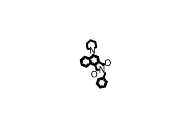 O=C1c2cc(N3CCCCC3)c3ccccc3c2C(=O)N1Cc1ccccc1